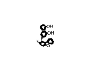 Fc1ccc2oc3ccccc3c2c1F.Oc1ccccc1.Oc1ccccc1